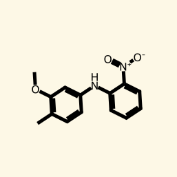 COc1cc(Nc2ccccc2[N+](=O)[O-])ccc1C